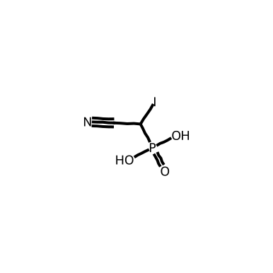 N#CC(I)P(=O)(O)O